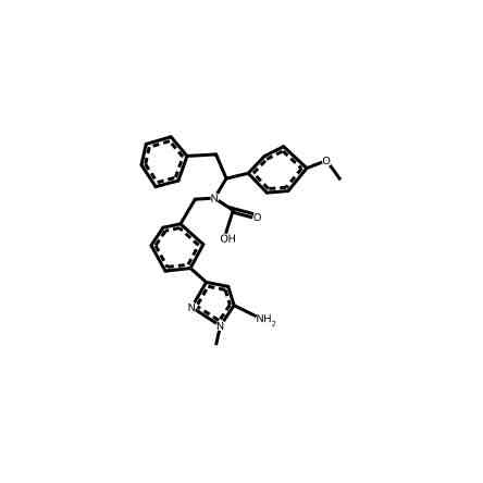 COc1ccc(C(Cc2ccccc2)N(Cc2cccc(-c3cc(N)n(C)n3)c2)C(=O)O)cc1